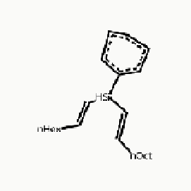 CCCCCCC=C[SiH](C=CCCCCCCCC)c1ccccc1